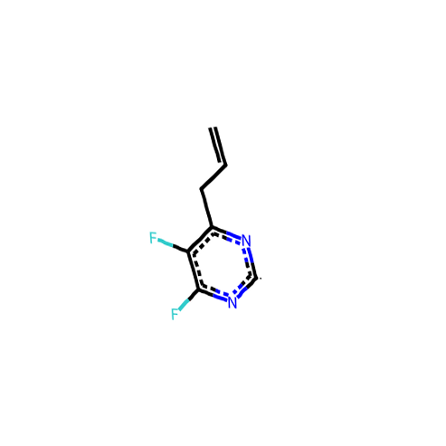 C=CCc1n[c]nc(F)c1F